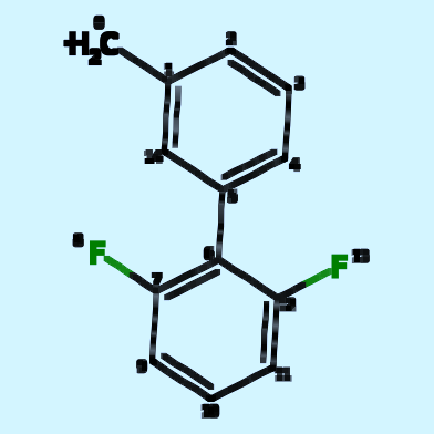 [CH2]c1cccc(-c2c(F)cccc2F)c1